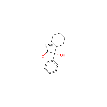 COC(=O)[C@](O)(c1ccccc1)C1CCCCC1